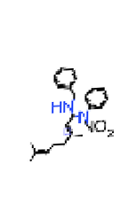 CC(C)=CCC/C(C)=C/C(NCc1ccccc1)N(c1ccccc1)[N+](=O)[O-]